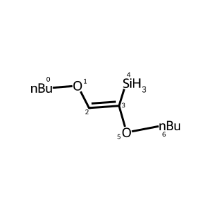 CCCCOC=C([SiH3])OCCCC